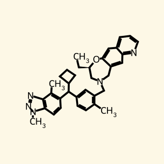 CC[C@@H]1CN(Cc2cc(C(c3ccc4c(nnn4C)c3C)C3CCC3)ccc2C)Cc2cc3ncccc3cc2O1